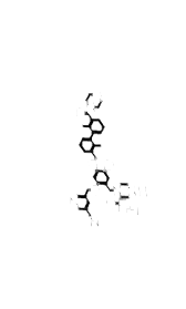 Cc1c(COc2cc(OCc3cncc(C#N)c3)c(CN3CCNC[C@H]3C(=O)O)cc2Cl)cccc1-c1cccc(C(=O)N2CCOCC2)c1C